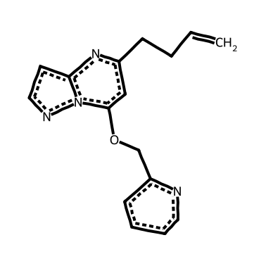 C=CCCc1cc(OCc2ccccn2)n2nccc2n1